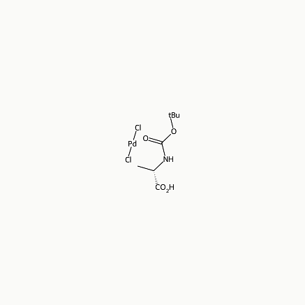 C[C@H](NC(=O)OC(C)(C)C)C(=O)O.[Cl][Pd][Cl]